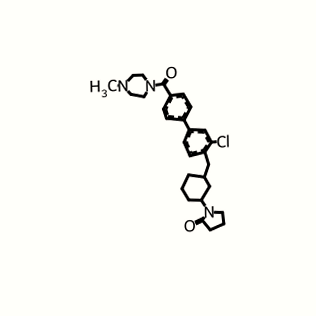 CN1CCN(C(=O)c2ccc(-c3ccc(CC4CCCC(N5CCCC5=O)C4)c(Cl)c3)cc2)CC1